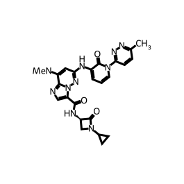 CNc1cc(Nc2cccn(-c3ccc(C)nn3)c2=O)nn2c(C(=O)N[C@@H]3CN(C4CC4)C3=O)cnc12